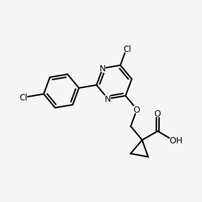 O=C(O)C1(COc2cc(Cl)nc(-c3ccc(Cl)cc3)n2)CC1